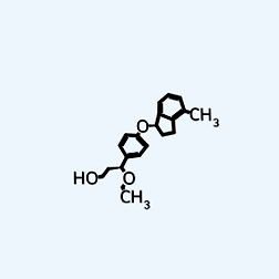 CCO[C@@H](CCO)c1ccc(O[C@@H]2CCc3c(C)cccc32)cc1